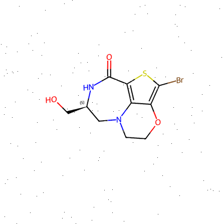 O=C1N[C@H](CO)CN2CCOc3c(Br)sc1c32